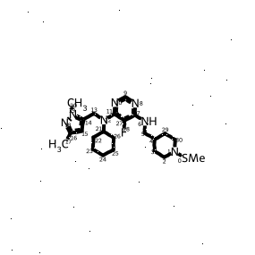 CSN1CCC(CNc2ncnc(N(Cc3cc(C)nn3C)C3CCCCC3)c2F)CC1